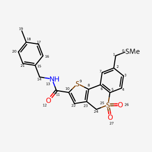 CSCc1ccc2c(c1)-c1sc(C(=O)NCc3ccc(C)cc3)cc1CS2(=O)=O